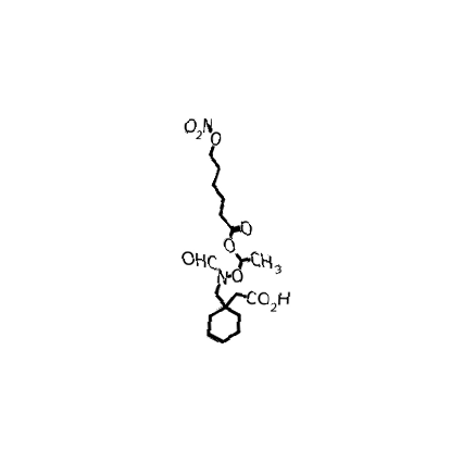 CC(OC(=O)CCCCCO[N+](=O)[O-])ON(C=O)CC1(CC(=O)O)CCCCC1